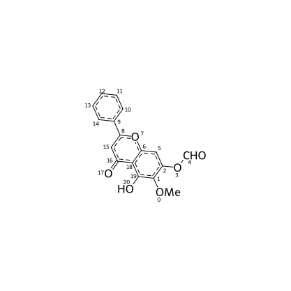 COc1c(OC=O)cc2oc(-c3ccccc3)cc(=O)c2c1O